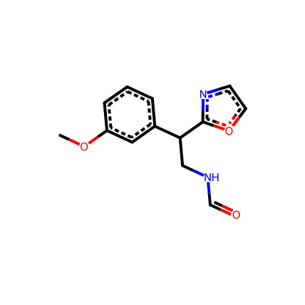 COc1cccc(C(CNC=O)c2ncco2)c1